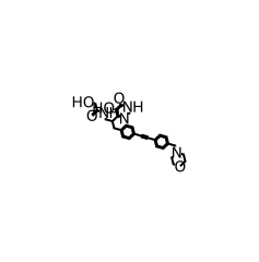 O=C(CO)NCC(Cc1ccc(C#Cc2ccc(CN3CCOCC3)cc2)cc1)c1nc[nH]c(=O)c1O